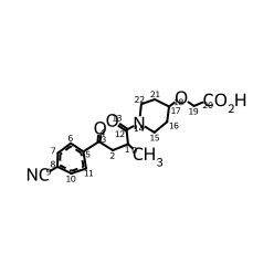 CC(CC(=O)c1ccc(C#N)cc1)C(=O)N1CCC(OCC(=O)O)CC1